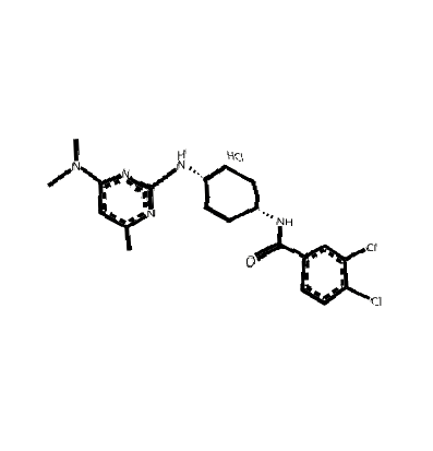 Cc1cc(N(C)C)nc(N[C@H]2CC[C@@H](NC(=O)c3ccc(Cl)c(Cl)c3)CC2)n1.Cl